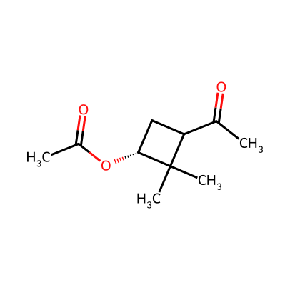 CC(=O)O[C@@H]1CC(C(C)=O)C1(C)C